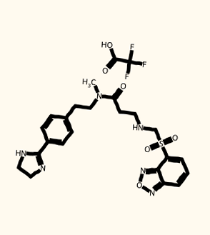 CN(CCc1ccc(C2=NCCN2)cc1)C(=O)CCNCS(=O)(=O)c1cccc2nonc12.O=C(O)C(F)(F)F